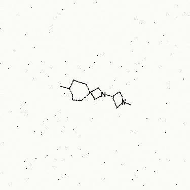 CC1CCC2(CC1)CN(C1CN(C)C1)C2